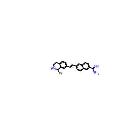 CC(C)C1NCCc2ccc(/C=C/c3ccc4cc(C(=N)N)ccc4c3)cc21